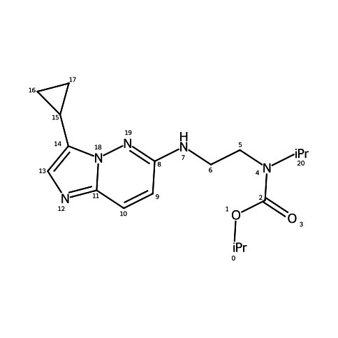 CC(C)OC(=O)N(CCNc1ccc2ncc(C3CC3)n2n1)C(C)C